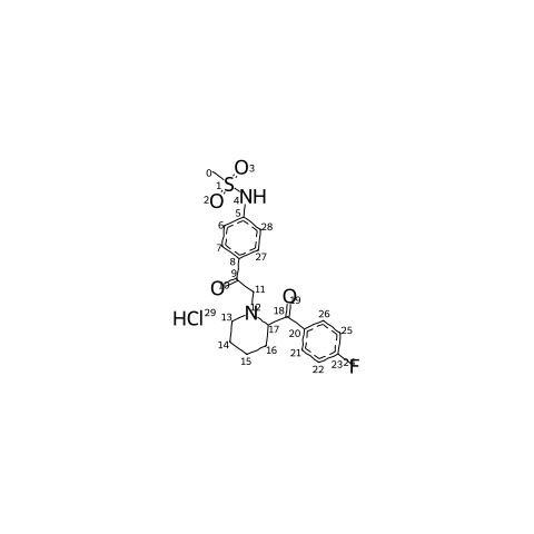 CS(=O)(=O)Nc1ccc(C(=O)CN2CCCCC2C(=O)c2ccc(F)cc2)cc1.Cl